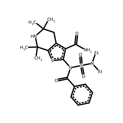 CCN(CC)S(=O)(=O)N(C(=O)c1ccccc1)c1sc2c(c1C(N)=O)CC(C)(C)NC2(C)C